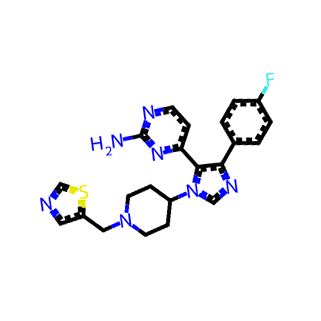 Nc1nccc(-c2c(-c3ccc(F)cc3)ncn2C2CCN(Cc3cncs3)CC2)n1